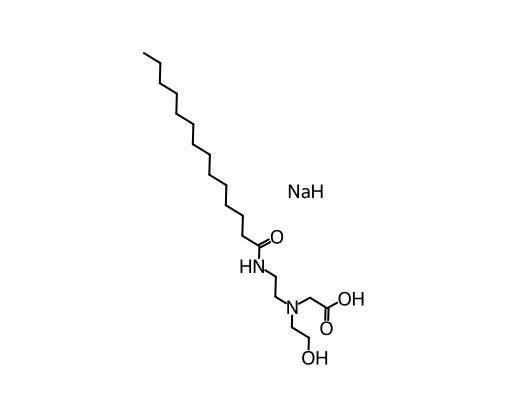 CCCCCCCCCCCCCC(=O)NCCN(CCO)CC(=O)O.[NaH]